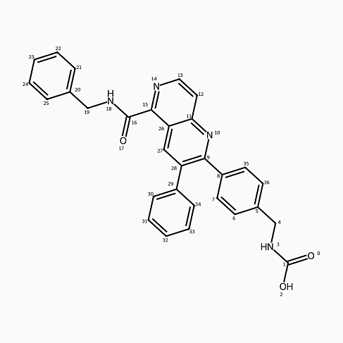 O=C(O)NCc1ccc(-c2nc3ccnc(C(=O)NCc4ccccc4)c3cc2-c2ccccc2)cc1